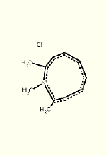 Cc1ccccccc(C)[s+]1C.[Cl-]